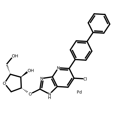 OC[C@H]1OC[C@@H](Oc2nc3nc(-c4ccc(-c5ccccc5)cc4)c(Cl)cc3[nH]2)[C@@H]1O.[Pd]